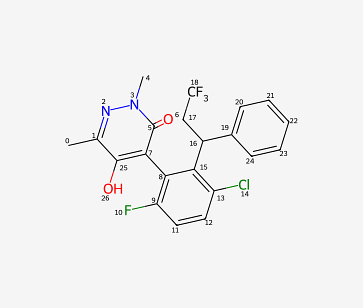 Cc1nn(C)c(=O)c(-c2c(F)ccc(Cl)c2C(CC(F)(F)F)c2ccccc2)c1O